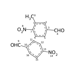 Cc1cc(C=O)ccc1[N+](=O)[O-].O=Cc1ccc([N+](=O)[O-])cc1